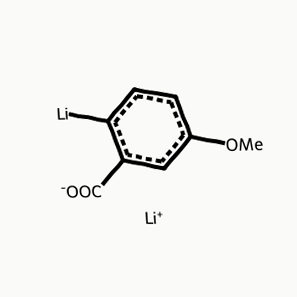 [Li+].[Li][c]1ccc(OC)cc1C(=O)[O-]